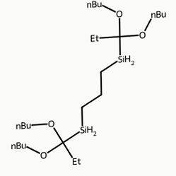 CCCCOC(CC)(OCCCC)[SiH2]CCC[SiH2]C(CC)(OCCCC)OCCCC